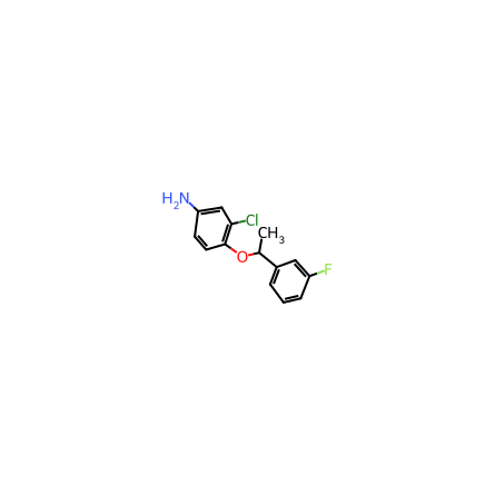 CC(Oc1ccc(N)cc1Cl)c1cccc(F)c1